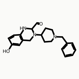 O=CC1Nc2ccc(O)cc2CN1C1CCN(Cc2ccccc2)CC1